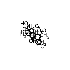 CCOC(C)=O.C[C@]12CCC(=O)C=C1CC[C@@H]1[C@@H]2[C@@H](O)C[C@@]2(C)[C@H]1CC[C@]2(O)C(=O)CO